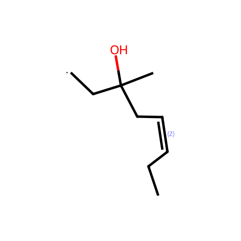 [CH2]CC(C)(O)C/C=C\CC